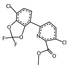 COC(=O)c1nc(-c2ccc(Cl)c3c2OC(F)(F)O3)ccc1Cl